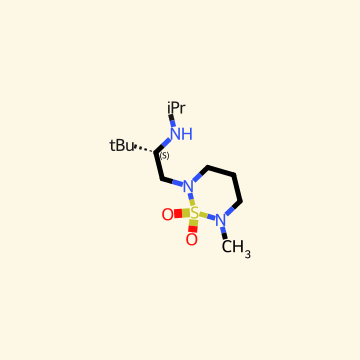 CC(C)N[C@H](CN1CCCN(C)S1(=O)=O)C(C)(C)C